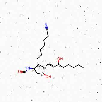 CCCCC[C@H](O)C=C[C@@H]1[C@@H](CCCCCCC#N)[C@H](NC=O)C[C@@H]1O